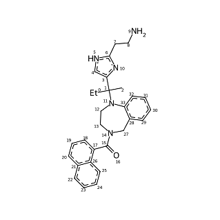 CCC(C)(c1c[nH]c(CCN)n1)N1CCN(C(=O)c2cccc3ccccc23)Cc2ccccc21